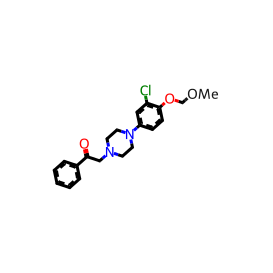 COCOc1ccc(N2CCN(CC(=O)c3ccccc3)CC2)cc1Cl